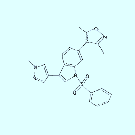 Cc1noc(C)c1-c1ccc2c(-c3cnn(C)c3)cn(S(=O)(=O)c3ccccc3)c2c1